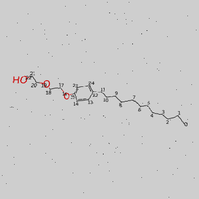 CCCCCCCCCCCCc1ccc(OCCOCCO)cc1